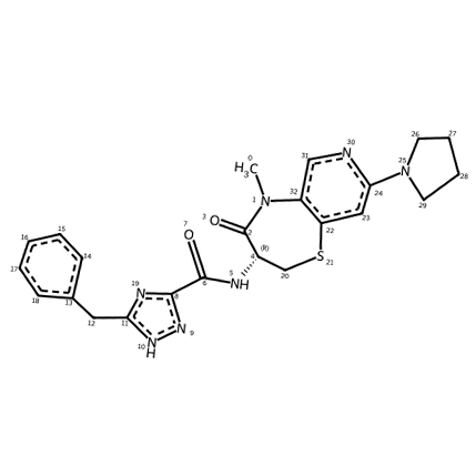 CN1C(=O)[C@@H](NC(=O)c2n[nH]c(Cc3ccccc3)n2)CSc2cc(N3CCCC3)ncc21